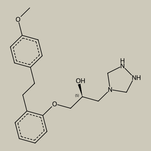 COc1ccc(CCc2ccccc2OC[C@@H](O)CN2CNNC2)cc1